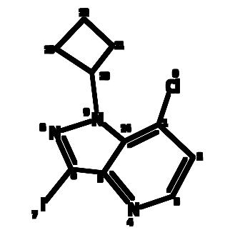 Clc1ccnc2c(I)nn(C3CCC3)c12